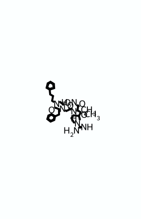 COC(C)(C1CCCN(C(=N)N)C1)C(NC(=O)CN1C(=O)CN(CCCc2ccccc2)C(=O)C1Cc1ccccc1)C(N)=O